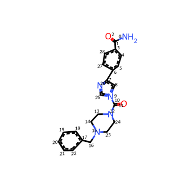 NC(=O)c1ccc(-c2cn(C(=O)N3CCN(Cc4ccccc4)CC3)cn2)cc1